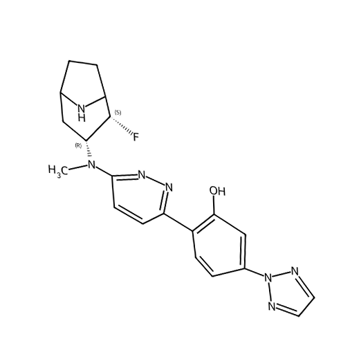 CN(c1ccc(-c2ccc(-n3nccn3)cc2O)nn1)[C@@H]1CC2CCC(N2)[C@@H]1F